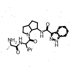 CC(C)C(NC(=O)[C@H](C)N)C(=O)N1CCC2CCC(NC(=O)c3n[nH]c4ccccc34)C21